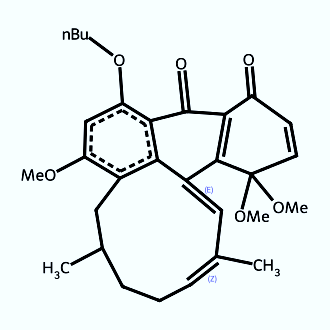 CCCCOc1cc(OC)c2c3c1C(=O)C1=C(/C3=C/C(C)=C\CCC(C)C2)C(OC)(OC)C=CC1=O